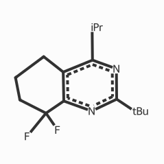 CC(C)c1nc(C(C)(C)C)nc2c1CCCC2(F)F